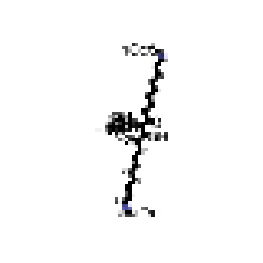 CCCCCCCC/C=C\CCCCCCCC(=O)C(N)C(O)C(=O)CCCCCCC/C=C\CCCCCCCC.O=P(O)(O)O